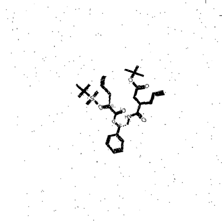 C=CCC(CC(=O)OC(C)(C)C)C(=O)NC[C@@H](OC(=O)[C@H](CC=C)O[Si](C)(C)C(C)(C)C)c1ccccc1